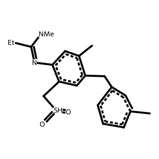 CCC(=Nc1cc(C)c(Cc2cccc(C)c2)cc1C[SH](=O)=O)NC